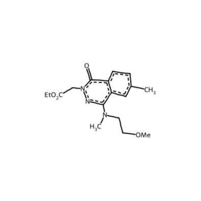 CCOC(=O)Cn1nc(N(C)CCOC)c2cc(C)ccc2c1=O